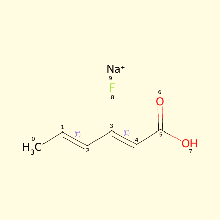 C/C=C/C=C/C(=O)O.[F-].[Na+]